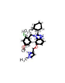 Cn1ccc(COc2ccc3nc([C@@H]4CCCC[C@@H]4C(=O)O)n(Cc4ccc(OC(F)(F)F)cc4F)c3c2)n1